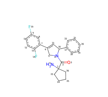 NC1(C(=O)N2CC(c3cc(F)ccc3F)=CC2c2ccccc2)CCCC1